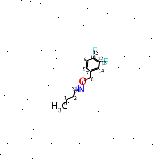 CCC/[C]=N/OCc1ccc(F)c(F)c1